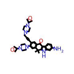 CC1(C)c2cc(N3CCN(C4COC4)CC3)c(C#CCN3CCN(C4COC4)CC3)cc2C(=O)c2c1[nH]c1cc(N)ccc21